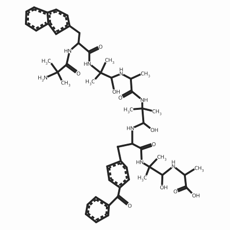 CC(NC(O)C(C)(C)NC(=O)C(Cc1ccc(C(=O)c2ccccc2)cc1)NC(O)C(C)(C)NC(=O)C(C)NC(O)C(C)(C)NC(=O)C(Cc1ccc2ccccc2c1)NC(=O)C(C)(C)N)C(=O)O